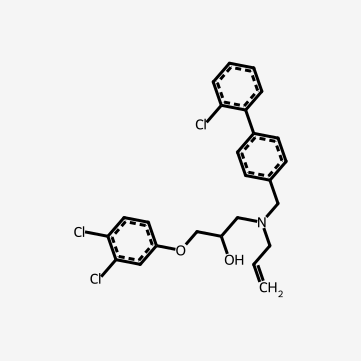 C=CCN(Cc1ccc(-c2ccccc2Cl)cc1)CC(O)COc1ccc(Cl)c(Cl)c1